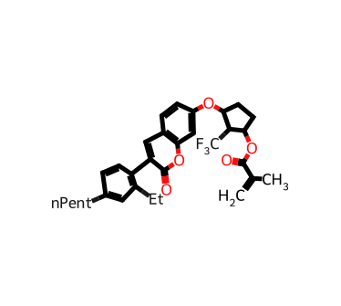 C=C(C)C(=O)OC1CCC(Oc2ccc3cc(-c4ccc(CCCCC)cc4CC)c(=O)oc3c2)C1C(F)(F)F